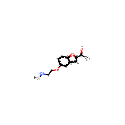 CNCCOc1ccc2oc(C(C)=O)cc2c1